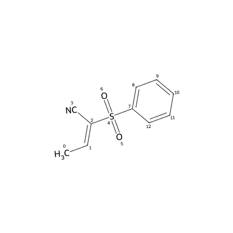 C/C=C(\C#N)S(=O)(=O)c1ccccc1